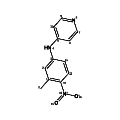 Cc1cc(Nc2ccncc2)ccc1[N+](=O)[O-]